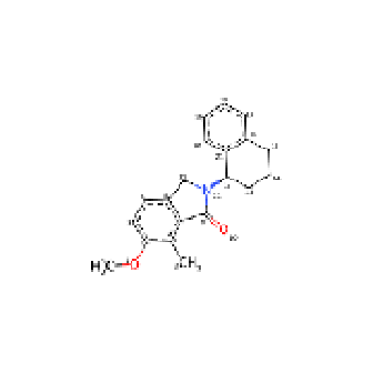 COc1ccc2c(c1C)C(=O)N([C@@H]1CCCc3ccccc31)C2